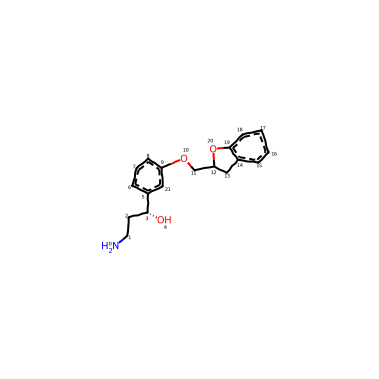 NCC[C@@H](O)c1cccc(OCC2Cc3ccccc3O2)c1